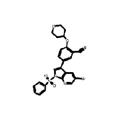 N#Cc1cc(-c2cn(S(=O)(=O)c3ccccc3)c3ncc(Br)cc23)ccc1OC1CCOCC1